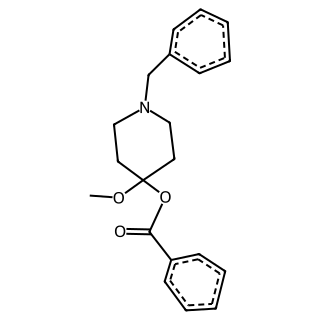 COC1(OC(=O)c2ccccc2)CCN(Cc2ccccc2)CC1